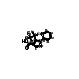 CC(F)(c1c(C(=O)O)cnn1-c1ccccn1)C(F)(F)F